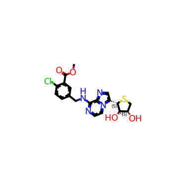 COC(=O)c1cc(CNc2nccn3c([C@@H]4SC[C@@H](O)[C@H]4O)cnc23)ccc1Cl